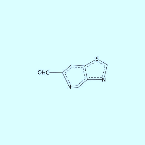 O=Cc1cc2scnc2cn1